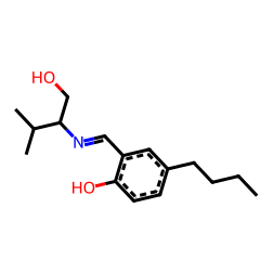 CCCCc1ccc(O)c(/C=N/C(CO)C(C)C)c1